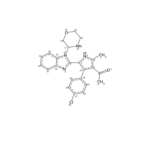 CC(=O)c1c(C)[nH]c(-c2nc3ccccc3n2C2COCCN2)c1-c1ccc(Cl)cc1